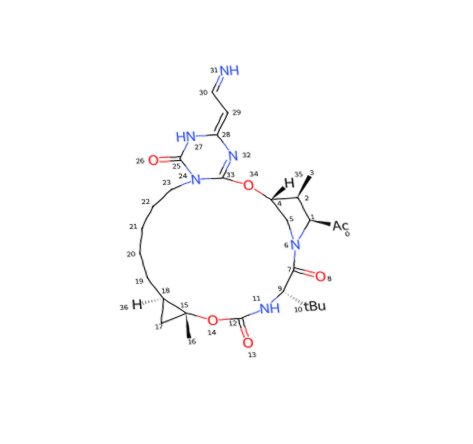 CC(=O)[C@@H]1[C@H](C)[C@@H]2CN1C(=O)[C@H](C(C)(C)C)NC(=O)O[C@]1(C)C[C@H]1CCCCCN1C(=O)N/C(=C\C=N)N=C1O2